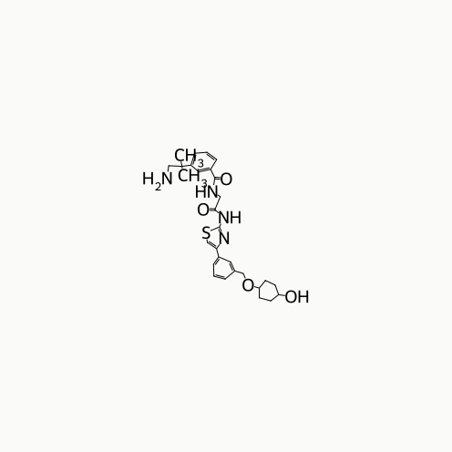 CC(C)(CN)c1cccc(C(=O)NCC(=O)Nc2nc(-c3cccc(COC4CCC(O)CC4)c3)cs2)c1